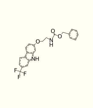 O=C(NCCOc1ccc2c(c1)[nH]c1cc(C(F)(F)F)ccc12)OCc1ccccc1